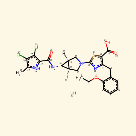 CCOc1ccccc1Cc1nc(N2C[C@@H]3[C@H](C2)[C@H]3NC(=O)c2[nH]c(C)c(Cl)c2Cl)sc1C(=O)O.[LiH]